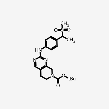 CC(c1ccc(Nc2ncc3c(n2)CN(C(=O)OC(C)(C)C)CC3)cc1)S(C)(=O)=O